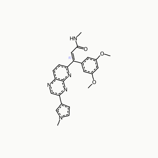 CNC(=O)/C=C(\c1cc(OC)cc(OC)c1)c1ccc2ncc(-c3ccn(C)c3)nc2n1